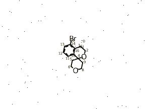 C[C@@H]1COC2(CCOCC2)c2cccc(Br)c21